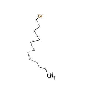 CCCC/C=C\CCCCCCBr